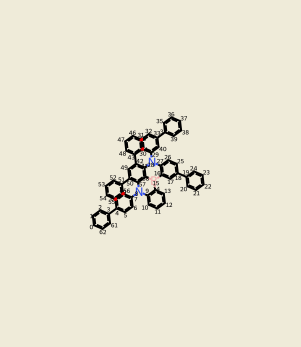 c1ccc(-c2ccc(N3c4ccccc4B4c5cc(-c6ccccc6)ccc5N(c5cccc(-c6ccccc6)c5)c5c(-c6ccccc6)cc(-c6ccccc6)c3c54)cc2)cc1